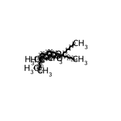 CCCCCCCCC(CCCCCC)C(=O)OC1CC[C@@]2(C)C(=CCC3C2CC[C@@]2(C)C3CC[C@@H]2[C@H](C)CCCC(C)C)C1